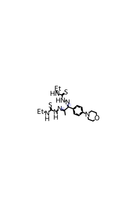 CCNC(=S)N/N=C(\C(C)=N\NC(=S)NCC)c1ccc(N2CCOCC2)cc1